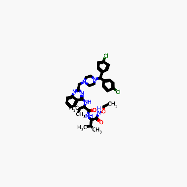 CCONC(=O)C(NC(=O)C(Nc1nc(CN2CCN(C(c3ccc(Cl)cc3)c3ccc(Cl)cc3)CC2)nc2ccccc12)C(C)C)C(C)C